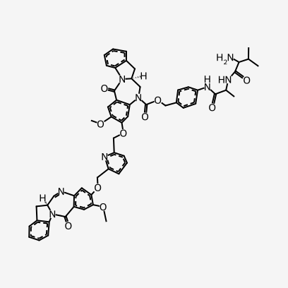 COc1cc2c(cc1OCc1cccc(COc3cc4c(cc3OC)C(=O)N3c5ccccc5C[C@H]3CN4C(=O)OCc3ccc(NC(=O)C(C)NC(=O)C(N)C(C)C)cc3)n1)N=C[C@@H]1Cc3ccccc3N1C2=O